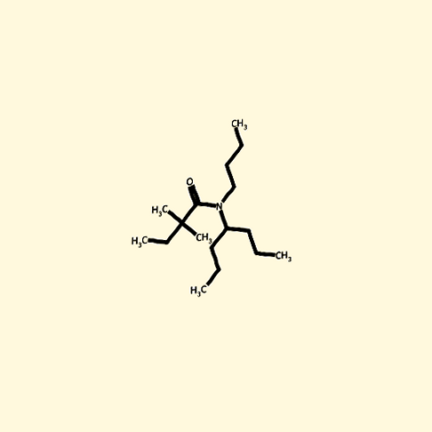 CCCCN(C(=O)C(C)(C)CC)C(CCC)CCC